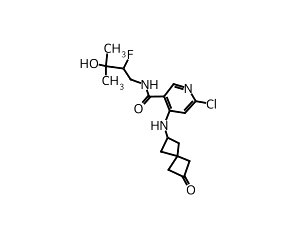 CC(C)(O)C(F)CNC(=O)c1cnc(Cl)cc1NC1CC2(CC(=O)C2)C1